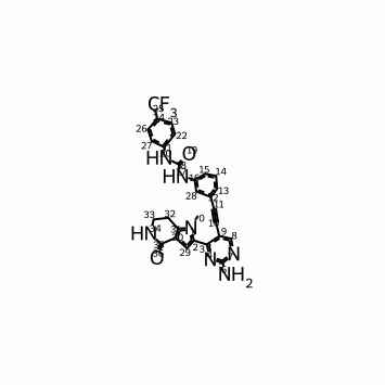 Cn1c(-c2nc(N)ncc2C#Cc2cccc(NC(=O)Nc3ccc(C(F)(F)F)cc3)c2)cc2c1CCNC2=O